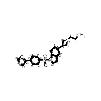 CCCN1CC(c2ccc3c(ccn3S(=O)(=O)c3ccc(-c4cnco4)cc3)c2)C1